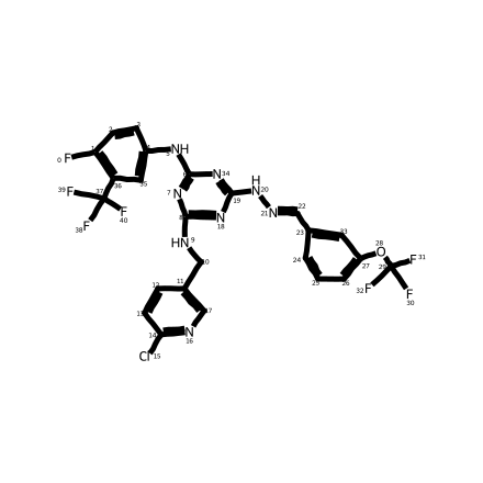 Fc1ccc(Nc2nc(NCc3ccc(Cl)nc3)nc(N/N=C/c3cccc(OC(F)(F)F)c3)n2)cc1C(F)(F)F